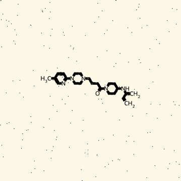 C=CC(=C)NC1CCN(C(=O)CCCN2CCN(c3ccc(C)cn3)CC2)CC1